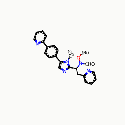 Cn1c(-c2ccc(-c3ccccn3)cc2)cnc1[C@H](Cc1ccccn1)N(C=O)OC(C)(C)C